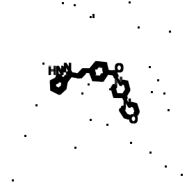 O=C(c1ccc(C=Cc2n[nH]c3ccccc23)cc1)N1CCC(N2CCOCC2)CC1